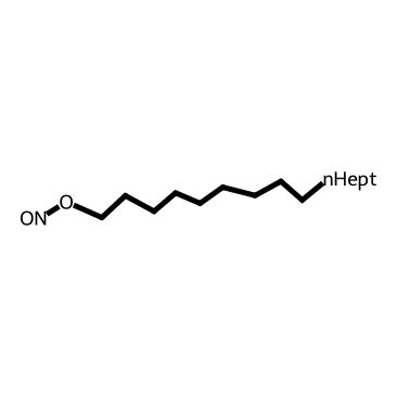 CCCCCCCCCCCCCCCCON=O